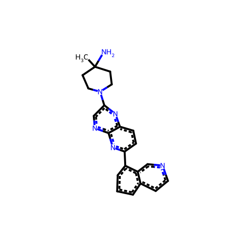 CC1(N)CCN(c2cnc3nc(-c4cccc5ccncc45)ccc3n2)CC1